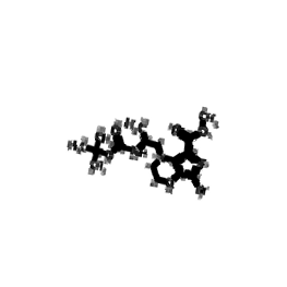 COC(=O)c1sc(Br)c2c1N(CC(C)NC(=O)OC(C)(C)C)CCO2